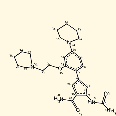 NC(=O)Nc1sc(-c2ccc(N3CCCCC3)cc2OCCN2CCCCC2)cc1C(N)=O